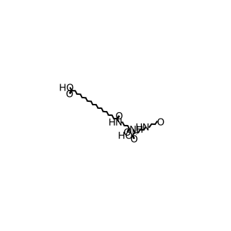 O=CCCCNCCC[C@H](NC(=O)CCCNC(=O)CCCCCCCCCCCCCCCCC(=O)O)C(=O)O